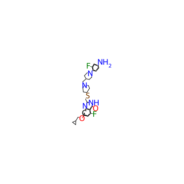 Nc1ccc(N2CCC(CN3CCC(SCc4nc5cc(OCC6CC6)cc(F)c5c(=O)[nH]4)CC3)CC2)c(F)c1